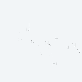 CC[C@]12O[C@@H](n3cc(C)c(NC(=O)c4ccccc4)nc3=O)[C@H](C1C)n1nncc12